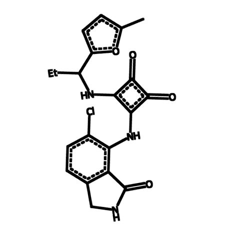 CCC(Nc1c(Nc2c(Cl)ccc3c2C(=O)NC3)c(=O)c1=O)c1ccc(C)o1